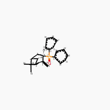 C=C1C2CC(C[C@H]1P(=O)(c1ccccc1)c1ccccc1)C2(C)C